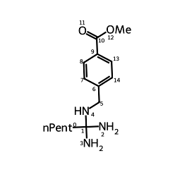 CCCCCC(N)(N)NCc1ccc(C(=O)OC)cc1